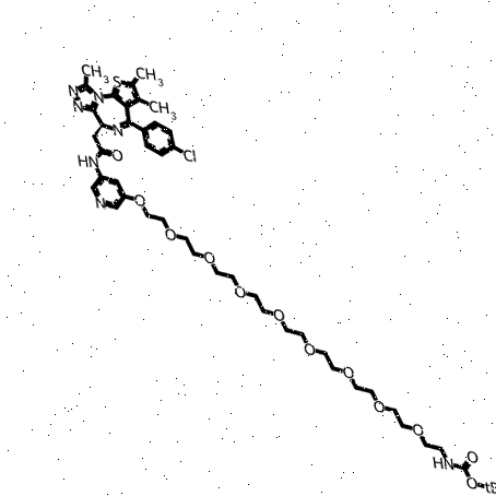 Cc1sc2c(c1C)C(c1ccc(Cl)cc1)=N[C@@H](CC(=O)Nc1cncc(OCCOCCOCCOCCOCCOCCOCCOCCOCCNC(=O)OC(C)(C)C)c1)c1nnc(C)n1-2